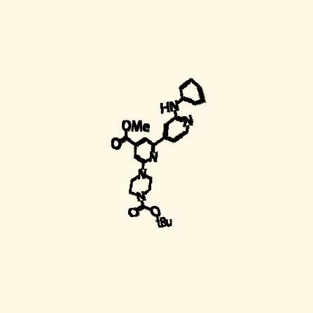 COC(=O)c1cc(-c2ccnc(Nc3ccccc3)c2)nc(N2CCN(C(=O)OC(C)(C)C)CC2)c1